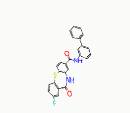 O=C(Nc1cccc(-c2ccccc2)c1)c1ccc2c(c1)NC(=O)c1cc(F)ccc1S2